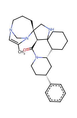 CC1=CN2CCC[C@]3(CNC[C@H]3C(=O)N3CC[C@@H](c4ccccc4)C[C@H]3C3CCCCC3)N1C2